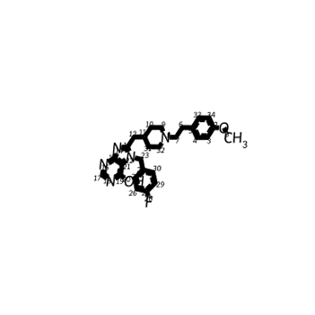 COc1ccc(CCN2CCC(Cc3nc4ncnc(O)c4n3Cc3ccc(F)cc3)CC2)cc1